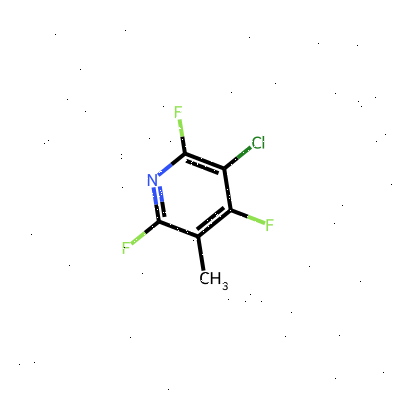 Cc1c(F)nc(F)c(Cl)c1F